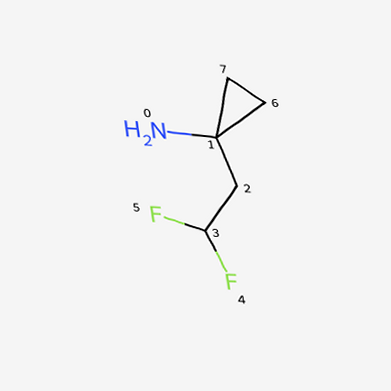 NC1(CC(F)F)CC1